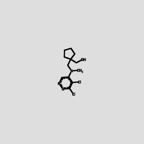 CN(CC1(CO)CCCC1)c1cnnc(Cl)c1Cl